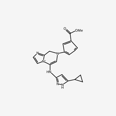 COC(=O)c1cccc(N2C=C(Nc3cc(C4CC4)[nH]n3)[N+]3C=CN=C3C2)c1